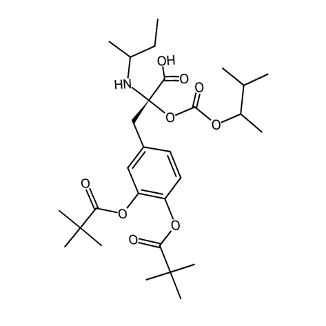 CCC(C)N[C@@](Cc1ccc(OC(=O)C(C)(C)C)c(OC(=O)C(C)(C)C)c1)(OC(=O)OC(C)C(C)C)C(=O)O